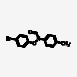 [CH2]c1ccc(N(C=O)Oc2ccc(Br)cc2)cc1